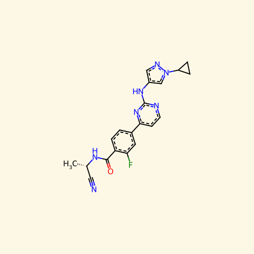 C[C@@H](C#N)NC(=O)c1ccc(-c2ccnc(Nc3cnn(C4CC4)c3)n2)cc1F